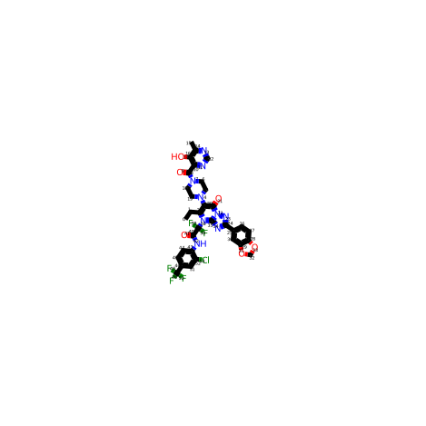 CCc1c(N2CCN(C(=O)c3ncnc(C)c3O)CC2)c(=O)n2nc(-c3ccc4c(c3)OCO4)nc2n1C(F)(F)C(=O)Nc1ccc(C(F)(F)F)cc1Cl